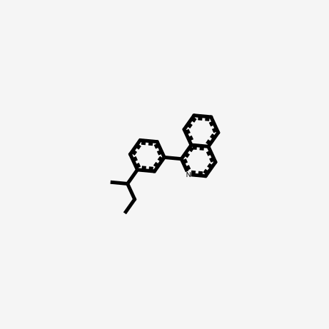 CCC(C)c1cccc(-c2nccc3ccccc23)c1